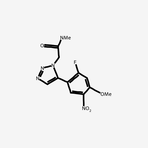 CNC(=O)Cn1nncc1-c1cc([N+](=O)[O-])c(OC)cc1F